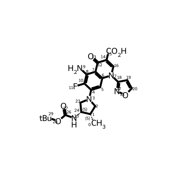 C[C@H]1CN(c2cc3c(c(N)c2F)c(=O)c(C(=O)O)cn3-c2ccon2)C[C@H]1NC(=O)OC(C)(C)C